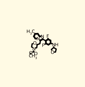 COC(=O)N1CCOC(Cc2c(-c3c(F)cc(NC4CCOC4)cc3F)nc3cc(C)ccn23)C1